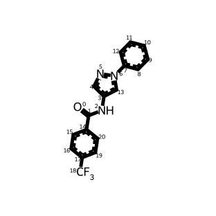 O=C(Nc1cnn(-c2ccccc2)c1)c1ccc(C(F)(F)F)cc1